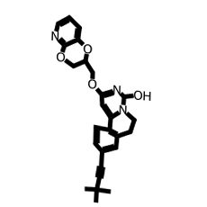 CC(C)(C)C#Cc1ccc2c(c1)CCN1C2=CC(OCC2COc3ncccc3O2)=NC1O